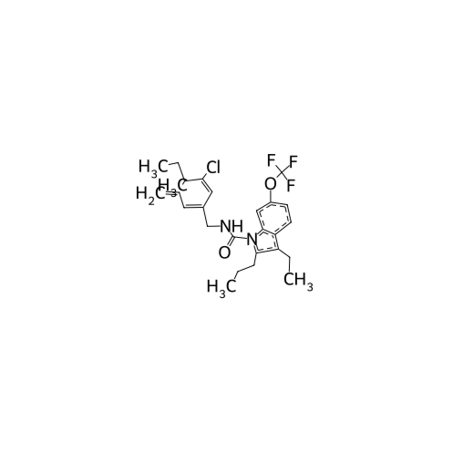 C=C/C=C(\C=C(\Cl)C(C)CC)CNC(=O)n1c(CCC)c(CC)c2ccc(OC(F)(F)F)cc21